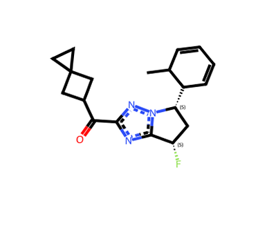 CC1C=CC=CC1[C@@H]1C[C@H](F)c2nc(C(=O)C3CC4(CC4)C3)nn21